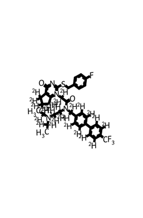 [2H]c1c([2H])c(C(F)(F)F)c([2H])c([2H])c1-c1c([2H])c([2H])c(C([2H])([2H])N(C(=O)C([2H])([2H])n2c(SCc3ccc(F)cc3)nc(=O)c3c2C([2H])([2H])C([2H])(C)C3([2H])[2H])C([2H])([2H])C([2H])([2H])N(C([2H])([2H])C)C([2H])([2H])C)c([2H])c1[2H]